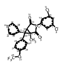 C[C@]12C(=O)N(c3cc(Cl)cc(Cl)c3)C(=O)C1[C@@]2(c1ccncc1)c1ccc(OC(F)(F)F)cc1